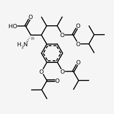 CC(C)C(=O)Oc1ccc(C(C(C)C(C)OC(=O)OC(C)C(C)C)[C@H](N)C(=O)O)cc1OC(=O)C(C)C